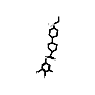 CC[SiH2]C1CCC(C2CCC(C(=O)Oc3cc(F)c(F)c(F)c3)CC2)CC1